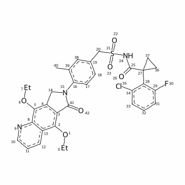 CCOc1c2c(c(OCC)c3ncccc13)CN(c1ccc(CS(=O)(=O)NC(=O)C3(c4c(F)cccc4Cl)CC3)cc1C)C2=O